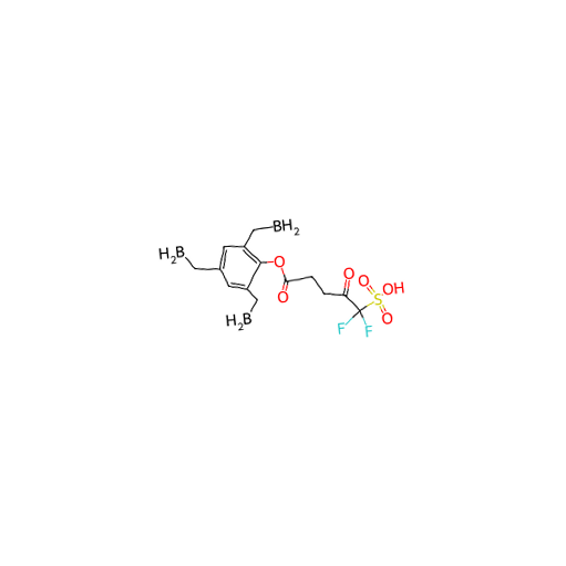 BCc1cc(CB)c(OC(=O)CCC(=O)C(F)(F)S(=O)(=O)O)c(CB)c1